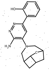 Nc1nnc(-c2ccccc2O)cc1N1CC2CC3CC(C1)C3C2